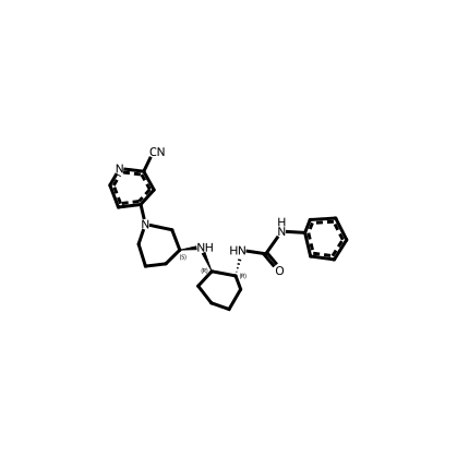 N#Cc1cc(N2CCC[C@H](N[C@@H]3CCCC[C@H]3NC(=O)Nc3ccccc3)C2)ccn1